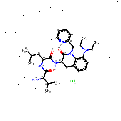 CCN(CC)c1cccc2c1N(Cc1ccccn1)C(=O)C(NC(=O)C(CC(C)C)NC(=O)C(N)C(C)C)C2.Cl